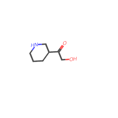 O=C(CO)C1CCCNC1